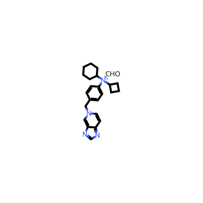 O=C[N+](c1ccc(Cn2ccc3ncnc-3c2)cc1)(C1CCCCC1)C1CCC1